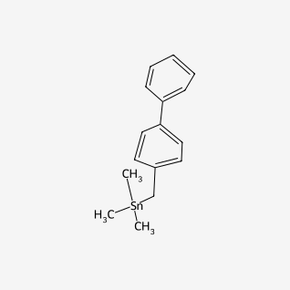 [CH3][Sn]([CH3])([CH3])[CH2]c1ccc(-c2ccccc2)cc1